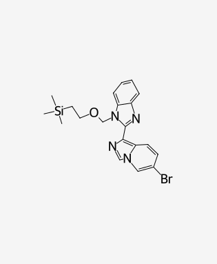 C[Si](C)(C)CCOCn1c(-c2ncn3cc(Br)ccc23)nc2ccccc21